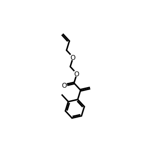 C=CCOCOC(=O)C(=C)c1ccccc1C